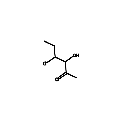 CCC(Cl)C(O)C(C)=O